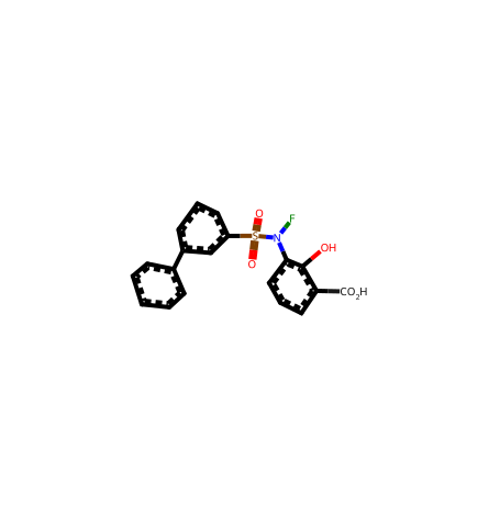 O=C(O)c1cccc(N(F)S(=O)(=O)c2cccc(-c3ccccc3)c2)c1O